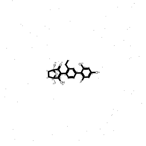 CCc1cc(-c2c(F)cc(Cl)cc2Cl)ccc1C1=C(O)[C@@]2(C)CC[C@H](O2)C1=O